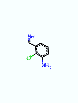 N=Cc1cccc(N)c1Cl